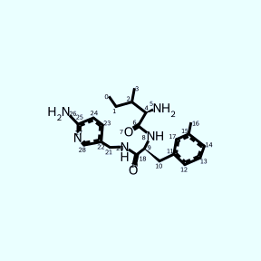 CCC(C)[C@@H](N)C(=O)N[C@@H](Cc1cccc(C)c1)C(=O)NCc1ccc(N)nc1